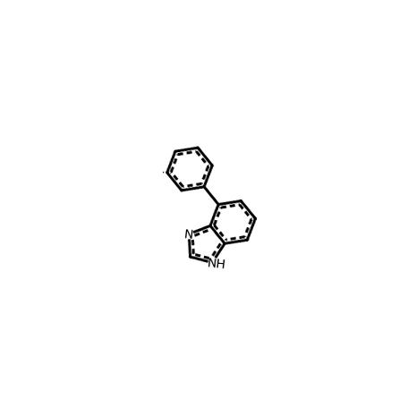 [c]1cccc(-c2cccc3[nH]cnc23)c1